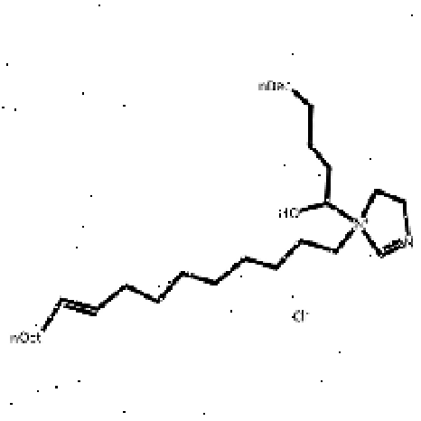 CCCCCCCCC=CCCCCCCCC[N+]1(C(O)CCCCCCCCCCCCC)C=NCC1.[Cl-]